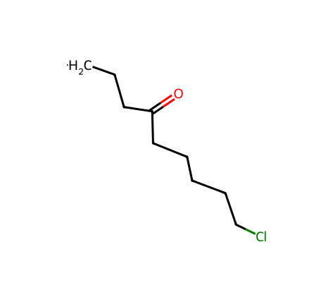 [CH2]CCC(=O)CCCCCCl